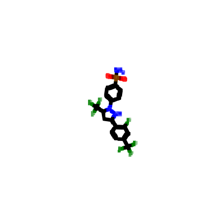 NS(=O)(=O)c1ccc(N2NC(c3ccc(C(F)(F)F)cc3F)CC2C(F)(F)F)cc1